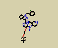 CC(C)(C)[Si](C)(C)OCCOc1cnc(-c2nn(Cc3ccccc3F)c3c2CCC3)nc1Nc1ccncc1C#N